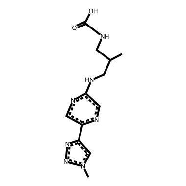 CC(CNC(=O)O)CNc1cnc(-c2cn(C)nn2)cn1